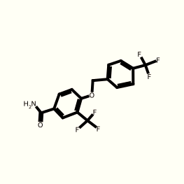 NC(=O)c1ccc(OCc2ccc(C(F)(F)F)cc2)c(C(F)(F)F)c1